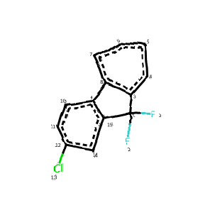 FC1(F)c2ccccc2-c2ccc(Cl)cc21